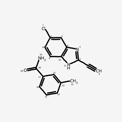 C#Cc1nc2cc(Cl)ccc2[nH]1.Cc1cccc(C(N)=O)c1